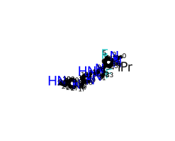 Cc1nc2c(F)cc(-c3nc(Nc4ccc([C@@H](C)N5CCC6(CCNC6)CC5)cn4)ncc3F)cc2n1C(C)C